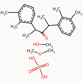 CO.CSC.Cc1cccc(C(C)C(=O)C(C)c2cccc(C)c2C)c1C.O=S(=O)(O)O